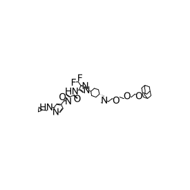 CN(CCOCCOCCOC12CC3CC(CC(C3)C1)C2)C[C@H]1CC[C@H](n2cc(NC(=O)c3coc(-c4ccnc(NCC5CC5)c4)n3)c(C(F)F)n2)CC1